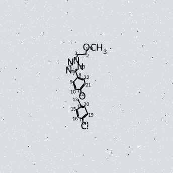 COCCn1nnc(-c2ccc(OCc3ccc(Cl)cc3)cc2)n1